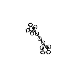 O=c1c2ccccc2c2ccccc2c(=O)n1CCOCCOCCOCCn1c(=O)c2ccccc2c2ccccc2c1=O